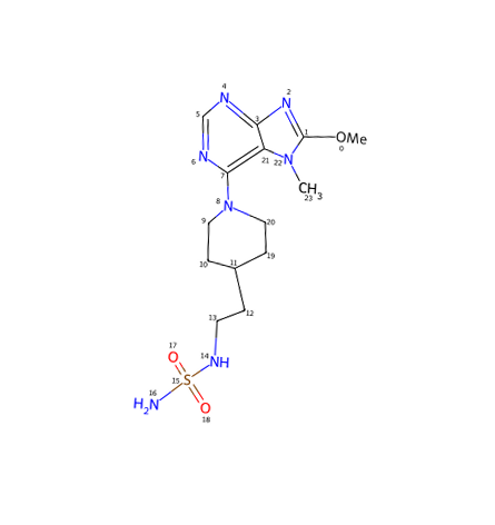 COc1nc2ncnc(N3CCC(CCNS(N)(=O)=O)CC3)c2n1C